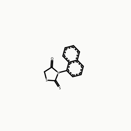 O=C1CSC(=S)N1c1cccc2ccccc12